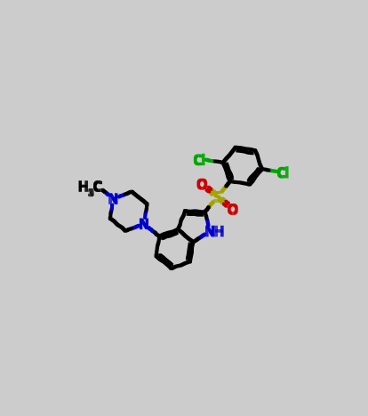 CN1CCN(c2cccc3[nH]c(S(=O)(=O)c4cc(Cl)ccc4Cl)cc23)CC1